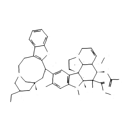 CC[C@]1(O)C[C@@H]2CN(CCc3c([nH]c4ccccc34)[C@@](C)(c3cc4c(cc3C)N(C)[C@H]3C(O)(C(=O)OC)[C@H](OC(C)=O)[C@]5(CC)C=CCN6CC[C@]43[C@@H]65)C2)C1